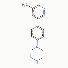 Cc1cncc(-c2ccc(N3CCNCC3)cc2)c1